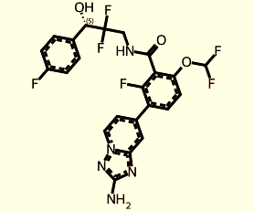 Nc1nc2cc(-c3ccc(OC(F)F)c(C(=O)NCC(F)(F)[C@@H](O)c4ccc(F)cc4)c3F)ccn2n1